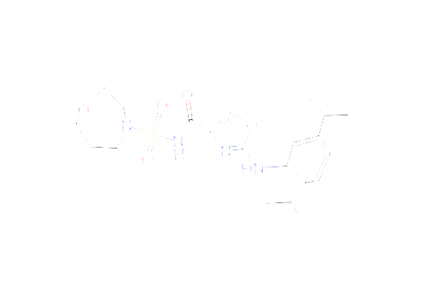 CC(C)c1ccc(C(C)C)c(Nc2nc(C(=O)NS(=O)(=O)N3CCCOCC3)co2)c1